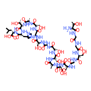 CC(C)C[C@H](NC(=O)[C@H](Cc1c[nH]cn1)NC(=O)[C@@H](NC(=O)[C@H](C)NC(=O)[C@H](CO)NC(=O)CNC(=O)[C@H](CO)NC(=O)CNC(=O)[C@H](CO)NC(=O)[C@H](CO)NC(=O)[C@H](C)NC(=O)[C@H](CO)NC(=O)[C@H](CO)NC(=O)CNC(=O)[C@H](CO)NC(=O)CNC(=O)CNC(=O)[C@@H](N)[C@@H](C)O)[C@@H](C)O)C(=O)O